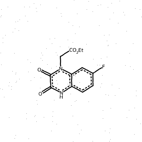 CCOC(=O)Cn1c(=O)c(=O)[nH]c2ccc(F)cc21